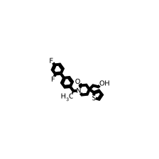 C[C@@H](c1ccc(-c2ccc(F)cc2F)cc1)N1CCC(CCO)(c2cccs2)CC1=O